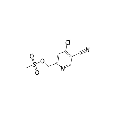 CS(=O)(=O)OCc1cc(Cl)c(C#N)cn1